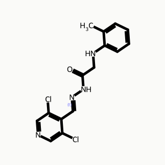 Cc1ccccc1NCC(=O)N/N=C/c1c(Cl)cncc1Cl